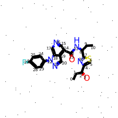 CCC(=O)c1csc(C(CC)NC(=O)c2cncc3c2cnn3-c2ccc(F)cc2)n1